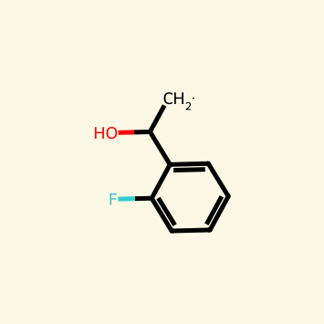 [CH2]C(O)c1ccccc1F